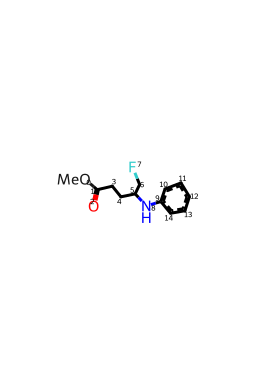 COC(=O)CCC(CF)Nc1ccccc1